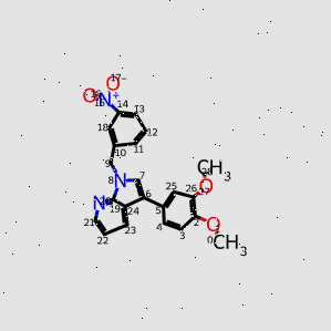 COc1ccc(-c2cn(Cc3cccc([N+](=O)[O-])c3)c3ncccc23)cc1OC